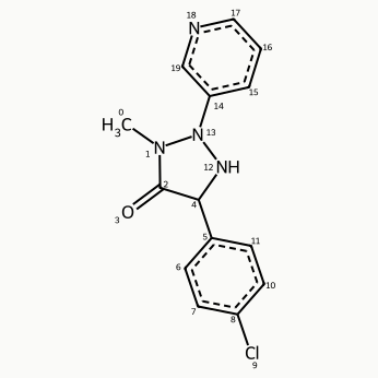 CN1C(=O)C(c2ccc(Cl)cc2)NN1c1cccnc1